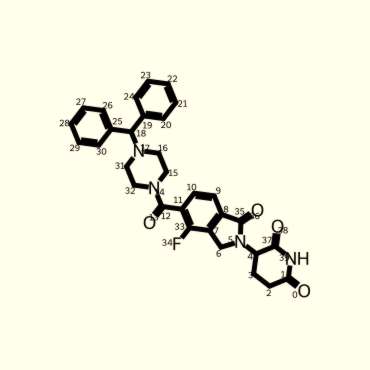 O=C1CCC(N2Cc3c(ccc(C(=O)N4CCN(C(c5ccccc5)c5ccccc5)CC4)c3F)C2=O)C(=O)N1